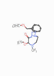 CCOC1C(=O)NCCN1C.O=COCc1ccccc1